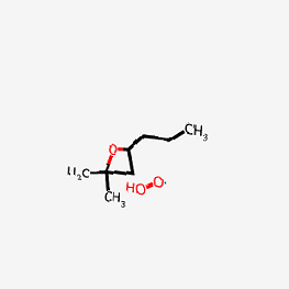 CCCC1CC(C)(C)O1.[O]O